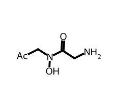 CC(=O)CN(O)C(=O)CN